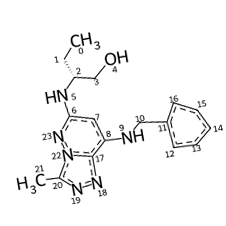 CC[C@H](CO)Nc1cc(NCc2ccccc2)c2nnc(C)n2n1